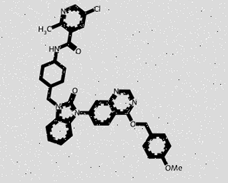 COc1ccc(COc2ncnc3cc(-n4c(=O)n(CC5CCC(NC(=O)c6cc(Cl)cnc6C)CC5)c5ccccc54)ccc23)cc1